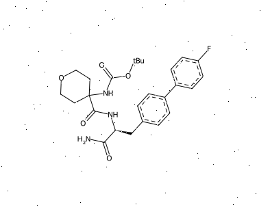 CC(C)(C)OC(=O)NC1(C(=O)N[C@@H](Cc2ccc(-c3ccc(F)cc3)cc2)C(N)=O)CCOCC1